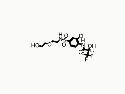 C[C@@](O)(C(=O)Nc1ccc(S(=O)(=O)NCCOCCO)cc1Cl)C(F)(F)F